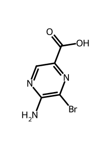 Nc1ncc(C(=O)O)nc1Br